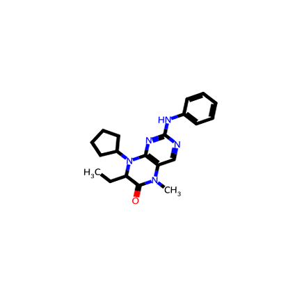 CCC1C(=O)N(C)c2cnc(Nc3ccccc3)nc2N1C1CCCC1